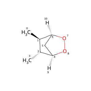 C[C@@H]1[C@@H](C)[C@H]2C[C@@H]1OO2